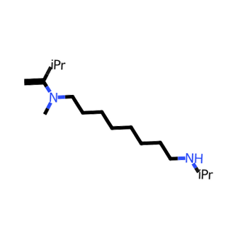 C=C(C(C)C)N(C)CCCCCCCCNC(C)C